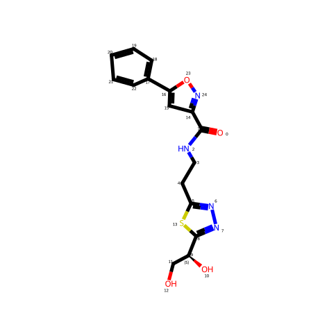 O=C(NCCc1nnc([C@@H](O)CO)s1)c1cc(-c2ccccc2)on1